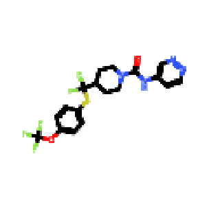 O=C(Nc1ccnnc1)N1CCC(C(F)(F)Sc2ccc(OC(F)(F)F)cc2)CC1